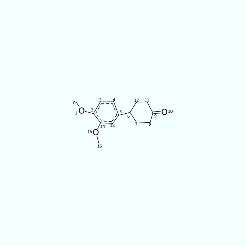 COc1ccc(C2CCC(=O)CC2)cc1OC